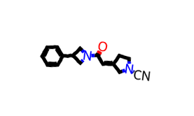 N#CN1CCC(=CC(=O)N2CC(c3ccccc3)C2)C1